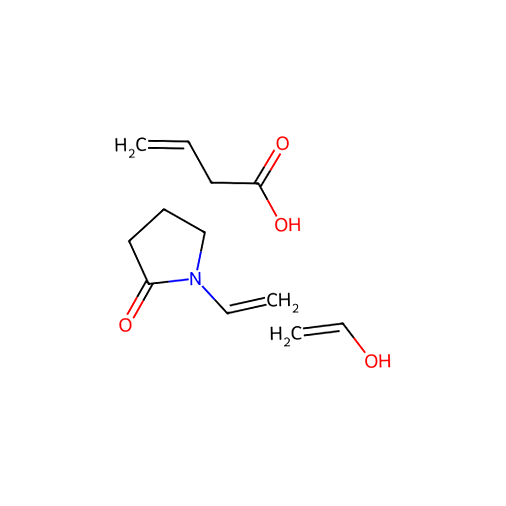 C=CCC(=O)O.C=CN1CCCC1=O.C=CO